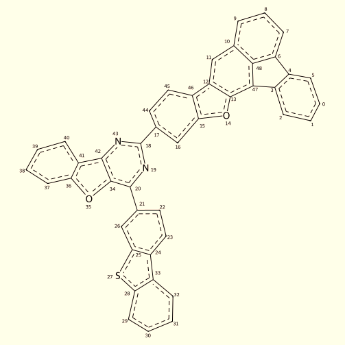 c1ccc2c(c1)-c1cccc3cc4c(oc5cc(-c6nc(-c7ccc8c(c7)sc7ccccc78)c7oc8ccccc8c7n6)ccc54)c-2c13